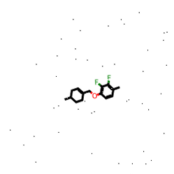 Cc1ccc(OCC2=CCC(C)CC2)c(F)c1F